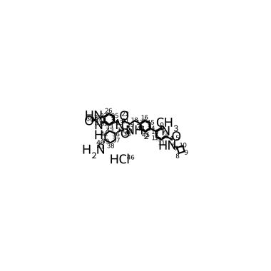 Cc1nc(C(=O)NC2CCC2)ccc1-c1ccc(C[C@H](N)C(=O)N(c2ccc3[nH]c(=O)[nH]c3c2)C(=O)[C@H]2CC[C@H](CN)CC2)cc1.Cl